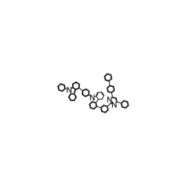 C1=CCC2C(=C1)N(c1ccc(-c3cccc4c3c3ccccc3n4-c3ccccc3)cc1)c1cccc(-c3cccc(-c4nc(-c5ccccc5)cc(-c5ccc(-c6ccccc6)cc5)n4)c3)c12